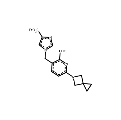 CCOC(=O)c1cn(Cc2ccc(N3CC4(CC4)C3)nc2C=O)cn1